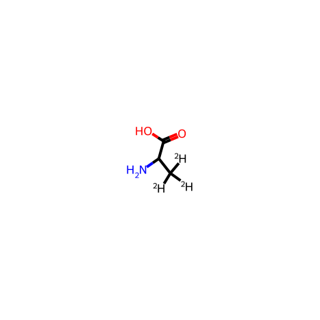 [2H]C([2H])([2H])C(N)C(=O)O